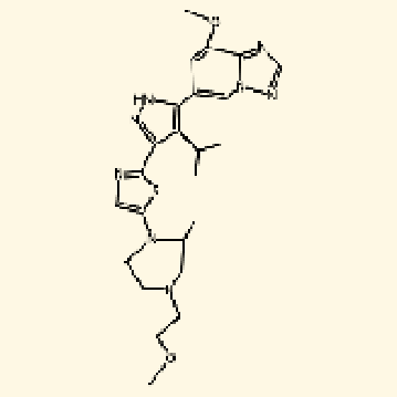 COCCN1CCN(c2cnc(-c3n[nH]c(-c4cc(OC)c5ncnn5c4)c3C(C)C)s2)C(C)C1